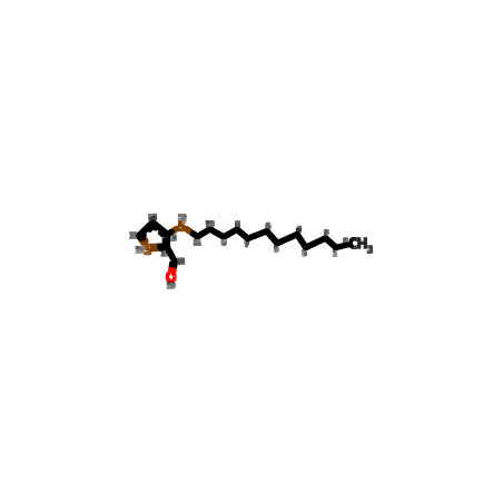 CCCCCCCCCCCCSc1ccsc1C=O